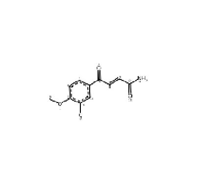 COc1ccc(C(=O)/C=C/C(N)=O)cc1Cl